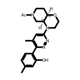 CC(=O)N1CC[C@H]2OCCN(c3cc(C)c(-c4ccc(C)cc4O)nn3)[C@H]2C1